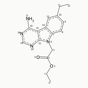 CCOC(=O)Cn1c2ccc(CC)cc2c2c(N)ncnc21